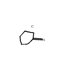 O=C1CCCCC1.[C]